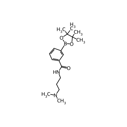 CN(C)CCCNC(=O)c1cccc(B2OC(C)(C)C(C)(C)O2)c1